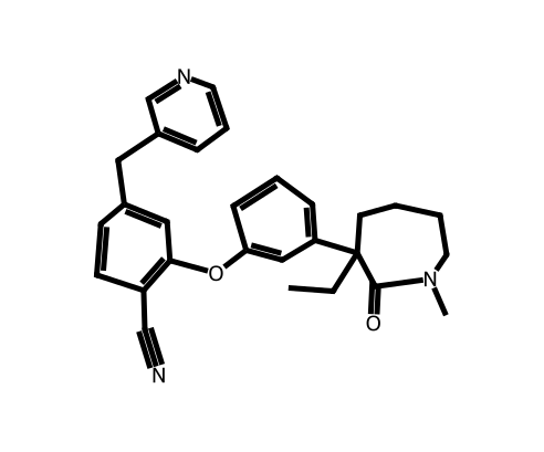 CCC1(c2cccc(Oc3cc(Cc4cccnc4)ccc3C#N)c2)CCCCN(C)C1=O